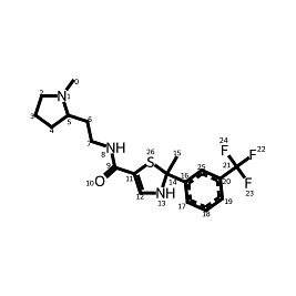 CN1CCCC1CCNC(=O)C1=CNC(C)(c2cccc(C(F)(F)F)c2)S1